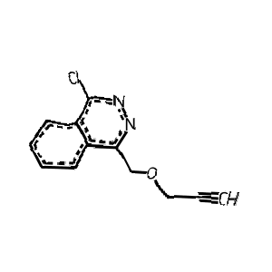 C#CCOCc1nnc(Cl)c2ccccc12